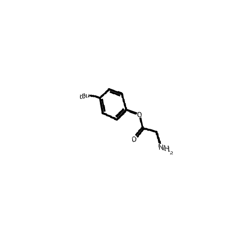 CC(C)(C)c1ccc(OC(=O)CN)cc1